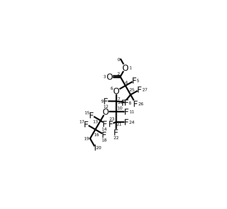 COC(=O)C(F)(OC(F)(F)C(F)(OC(F)(F)C(F)(F)CI)C(F)(F)F)C(F)(F)F